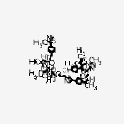 Cc1ncsc1-c1ccc(CNC(=O)[C@@H]2C[C@@H](O)CN2C(=O)C(NC(=O)COCCn2cc(-c3ccc([C@H](C)NC(=O)C[C@@H]4N=C(c5ccc(Cl)cc5)c5c(sc(C)c5C)-n5c(C)nnc54)cc3)cn2)C(C)(C)C)cc1